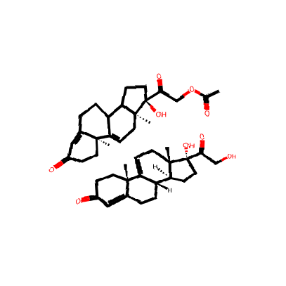 CC(=O)OCC(=O)[C@@]1(O)CCC2C3CCC4=CC(=O)CC[C@]4(C)C3=CC[C@@]21C.C[C@]12CCC(=O)C=C1CC[C@@H]1C2=CC[C@@]2(C)[C@H]1CC[C@]2(O)C(=O)CO